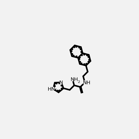 C=C(NCCc1ccc2ccccc2c1)C(N)Cc1c[nH]cn1